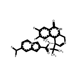 CN(C(=O)c1cc2cc(C(F)F)ccn2c1)[C@@]1(C(C)(C)C)C=NCc2[nH]c(=O)c3cc(F)c(F)cc3c21